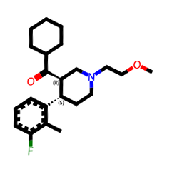 COCCN1C[CH][C@H](c2cccc(F)c2C)[C@@H](C(=O)C2CCCCC2)C1